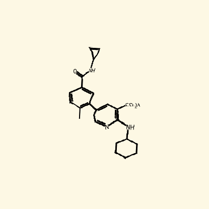 Cc1ccc(C(=O)NC2CC2)cc1-c1cnc(NC2CCCCC2)c(C(=O)O)c1